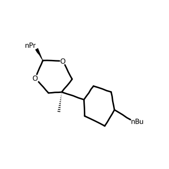 CCCCC1CCC([C@]2(C)CO[C@H](CCC)OC2)CC1